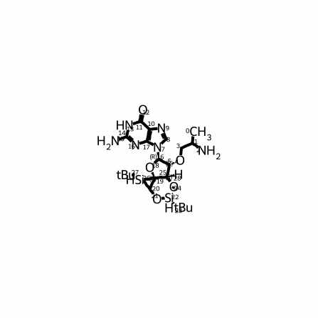 CC(N)CO[C@H]1[C@H](n2cnc3c(=O)[nH]c(N)nc32)O[C@]23C(O[SiH](C(C)(C)C)O[C@@H]12)[SiH]3C(C)(C)C